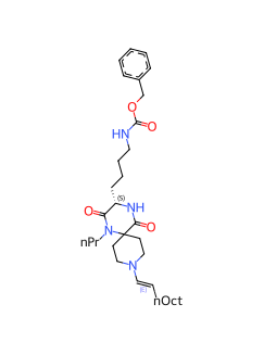 CCCCCCCC/C=C/N1CCC2(CC1)C(=O)N[C@@H](CCCCNC(=O)OCc1ccccc1)C(=O)N2CCC